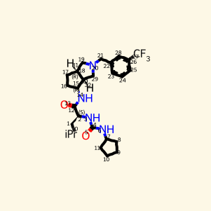 CC(C)C[C@H](NC(=O)NC1CCCC1)C(=O)N[C@@H]1CC[C@H]2CN(Cc3cccc(C(F)(F)F)c3)C[C@H]21